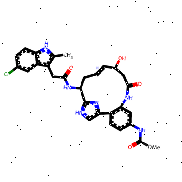 COC(=O)Nc1ccc2c(c1)NC(=O)CC(O)/C=C/CC(NC(=O)Cc1c(C)[nH]c3ccc(Cl)cc13)c1nc-2c[nH]1